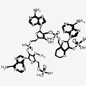 COC1C(OP(=O)(O)OC[C@H]2O[C@@H](n3cnc4c(N)ncnc43)C(OP(=O)(O)OC[C@]34CCCOC3C(OP(=O)(O)S)[C@H](n3cnc5c(N)ncnc53)O4)C2O)[C@H](n2cnc3c(N)ncnc32)O[C@@H]1COP(=O)(O)S